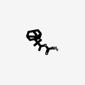 CC(OC(N)=O)C(C)(C)C12CC3CC(CC(C3)C1)C2